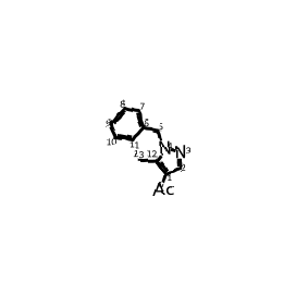 CC(=O)c1cnn(Cc2ccccc2)c1C